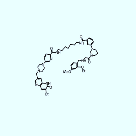 CCOc1cc(OC)ccc1CNCC(=O)N1CCCC(c2cccc(C(=O)NCCCCCCCNC(=O)c3ccc(N4CCN(Cc5cnc6cc(CC)c(=O)[nH]c6c5)CC4)cn3)c2)C1